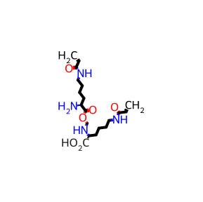 C=CC(=O)NCCCC[C@H](NCOC(=O)[C@@H](N)CCCCNC(=O)C=C)C(=O)O